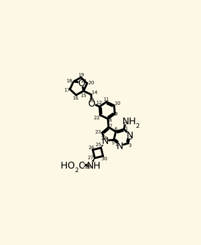 Nc1ncnc2c1c(-c1cccc(OCC34CCC(CC3)O4)c1)cn2[C@H]1C[C@H](NC(=O)O)C1